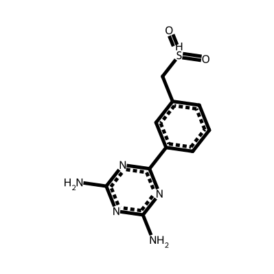 Nc1nc(N)nc(-c2cccc(C[SH](=O)=O)c2)n1